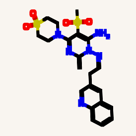 C=C1N=C(N2CCS(=O)(=O)CC2)C(S(C)(=O)=O)=C(N)N1/N=C\Cc1cnc2ccccc2c1